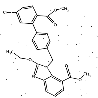 CCOc1nc2cccc(C(=O)OC)c2n1Cc1ccc(-c2cc(Cl)ccc2C(=O)OC)cc1